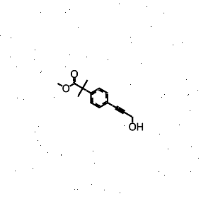 COC(=O)C(C)(C)c1ccc(C#CCO)cc1